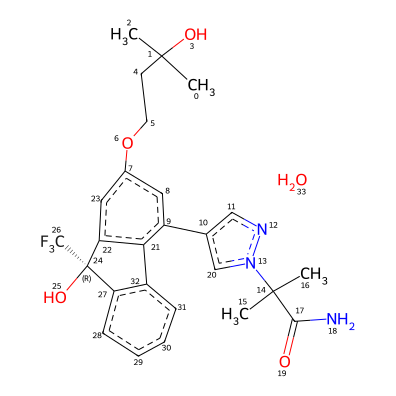 CC(C)(O)CCOc1cc(-c2cnn(C(C)(C)C(N)=O)c2)c2c(c1)[C@@](O)(C(F)(F)F)c1ccccc1-2.O